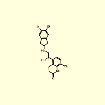 CCc1cc2c(cc1CC)CC(NC[C@H](O)c1ccc(O)c3c1CCC(=O)N3)C2